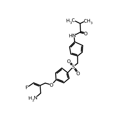 CC(C)C(=O)Nc1ccc(CS(=O)(=O)c2ccc(OC/C(=C/F)CN)cc2)cc1